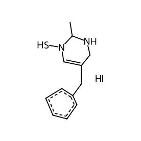 CC1NCC(Cc2ccccc2)=CN1S.I